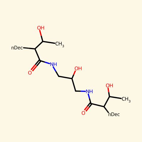 CCCCCCCCCCC(C(=O)NCC(O)CNC(=O)C(CCCCCCCCCC)C(C)O)C(C)O